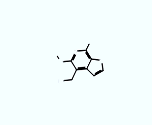 COc1nc(C)c2sccc2c1CO